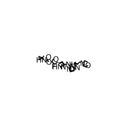 CC1(NC(=O)O[C@H]2CO[C@@H](c3cc(Nc4nccc5nc(CN6CCOCC6)cn45)n[nH]3)[C@@H]2F)CC1